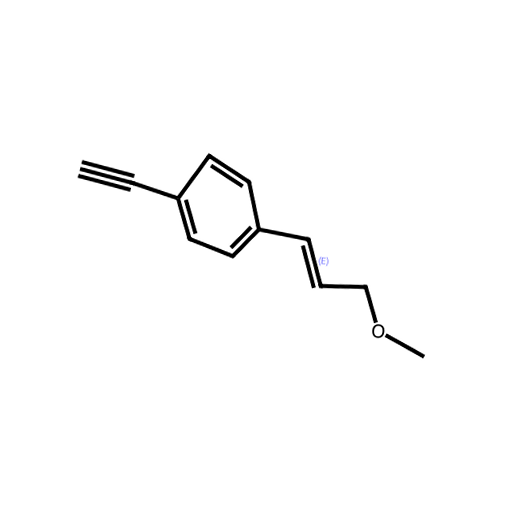 C#Cc1ccc(/C=C/COC)cc1